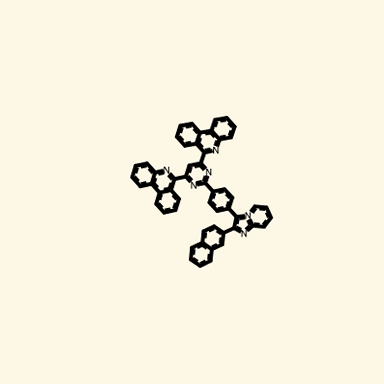 c1ccc2cc(-c3nc4ccccn4c3-c3ccc(-c4nc(-c5nc6ccccc6c6ccccc56)cc(-c5nc6ccccc6c6ccccc56)n4)cc3)ccc2c1